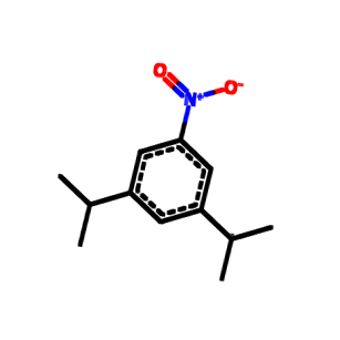 C[C](C)c1cc(C(C)C)cc([N+](=O)[O-])c1